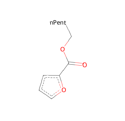 CCCCCCOC(=O)c1ccco1